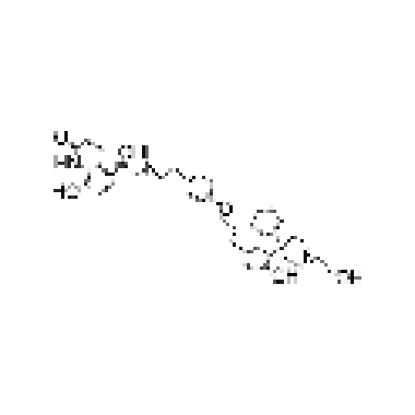 O=c1ccc2c([C@@H](O)CNCCc3ccc(OCCCc4ccc(O)c(C5(c6ccccc6)CCN(CCO)CC5)c4)cc3)ccc(O)c2[nH]1